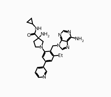 CCc1cc(-c2cccnc2)cc(N2CC[C@](N)(C(=O)NC3CC3)C2)c1Cn1cnc2c(N)ncnc21